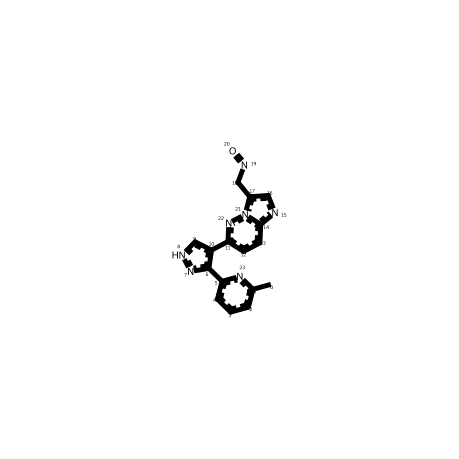 Cc1cccc(-c2n[nH]cc2-c2ccc3ncc(CN=O)n3n2)n1